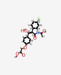 COC(=O)COc1ccc(C(O)=C2C(=O)N(C(C)=O)c3cc(F)ccc32)cc1